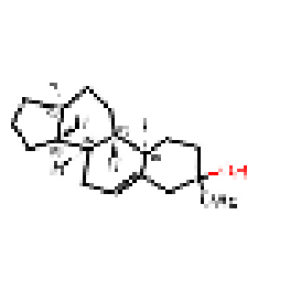 CC(=O)OC1(O)CC[C@@]2(C)C(=CC[C@H]3[C@@H]4CCC[C@@]4(C)CC[C@@H]32)C1